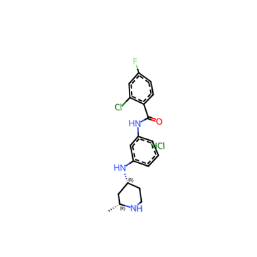 C[C@@H]1C[C@H](Nc2cccc(NC(=O)c3ccc(F)cc3Cl)c2)CCN1.Cl